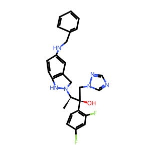 C[C@@H](N1Cc2cc(NCc3ccccc3)ccc2N1)[C@](O)(Cn1cncn1)c1ccc(F)cc1F